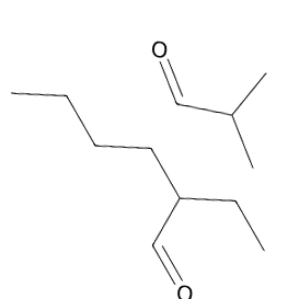 CC(C)C=O.CCCCC(C=O)CC